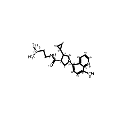 CN(C)CCNC(=O)[C@@H]1CN(c2ccc(C#N)c3ncccc23)CC1C1CC1